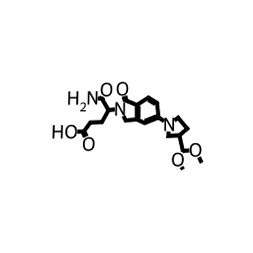 COC(OC)C1CCN(c2ccc3c(c2)CN(C(CCC(=O)O)C(N)=O)C3=O)C1